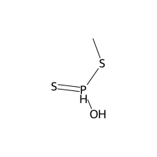 CS[PH](O)=S